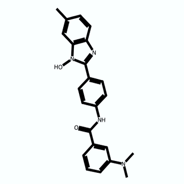 Cc1ccc2nc(-c3ccc(NC(=O)c4cccc(N(C)C)c4)cc3)n(O)c2c1